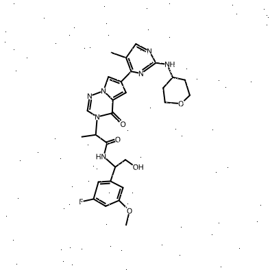 COc1cc(F)cc(C(CO)NC(=O)C(C)n2cnn3cc(-c4nc(NC5CCOCC5)ncc4C)cc3c2=O)c1